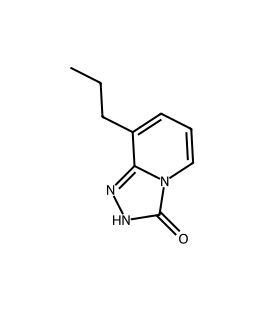 CCCc1cccn2c(=O)[nH]nc12